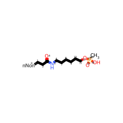 CCCCCCCCCCCC(=O)NCCCCCCOP(C)(=O)O